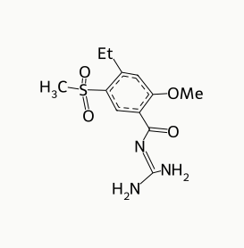 CCc1cc(OC)c(C(=O)N=C(N)N)cc1S(C)(=O)=O